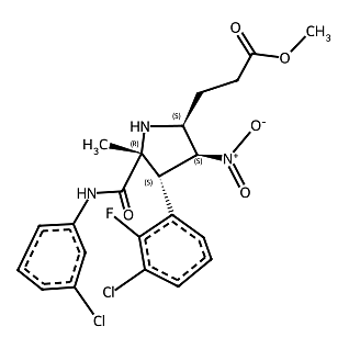 COC(=O)CC[C@@H]1N[C@@](C)(C(=O)Nc2cccc(Cl)c2)[C@@H](c2cccc(Cl)c2F)[C@@H]1[N+](=O)[O-]